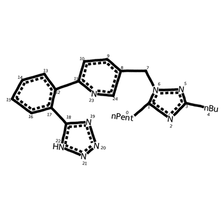 CCCCCc1nc(CCCC)nn1Cc1ccc(-c2ccccc2-c2nnn[nH]2)nc1